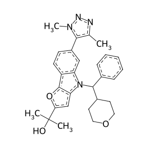 Cc1nnn(C)c1-c1ccc2c3oc(C(C)(C)O)cc3n(C(c3ccccc3)C3CCOCC3)c2c1